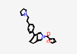 O=C(c1ccco1)N1CC2CC=C(c3ccc(CCN4CCCC4)cc3)C2C1